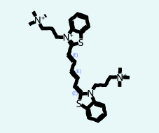 C[N+](C)(C)CCCN1\C(=C/C=C/C=C/c2sc3ccccc3[n+]2CCC[N+](C)(C)C)Sc2ccccc21